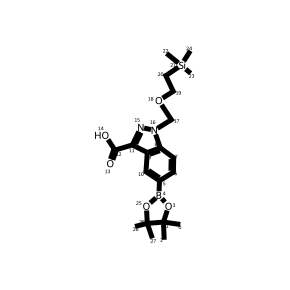 CC1(C)OB(c2ccc3c(c2)c(C(=O)O)nn3COCC[Si](C)(C)C)OC1(C)C